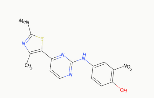 CNc1nc(C)c(-c2ccnc(Nc3ccc(O)c([N+](=O)[O-])c3)n2)s1